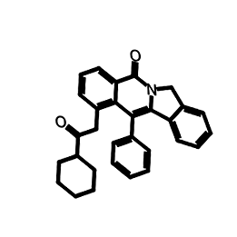 O=C(Cc1cccc2c(=O)n3c(c(-c4ccccc4)c12)-c1ccccc1C3)C1CCCCC1